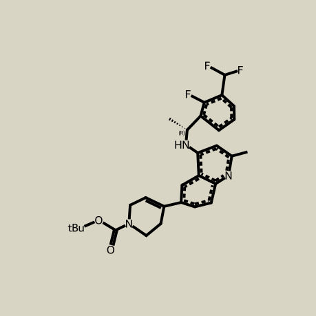 Cc1cc(N[C@H](C)c2cccc(C(F)F)c2F)c2cc(C3=CCN(C(=O)OC(C)(C)C)CC3)ccc2n1